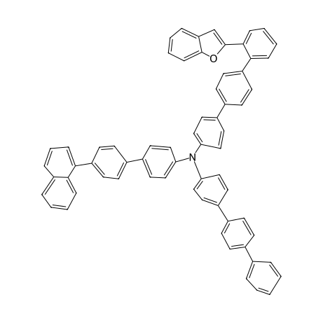 c1ccc(-c2ccc(-c3ccc(N(c4ccc(-c5ccc(-c6ccccc6-c6cc7ccccc7o6)cc5)cc4)c4ccc(-c5ccc(-c6cccc7ccccc67)cc5)cc4)cc3)cc2)cc1